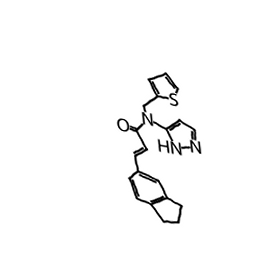 O=C(C=Cc1ccc2c(c1)CCC2)N(Cc1cccs1)c1ccn[nH]1